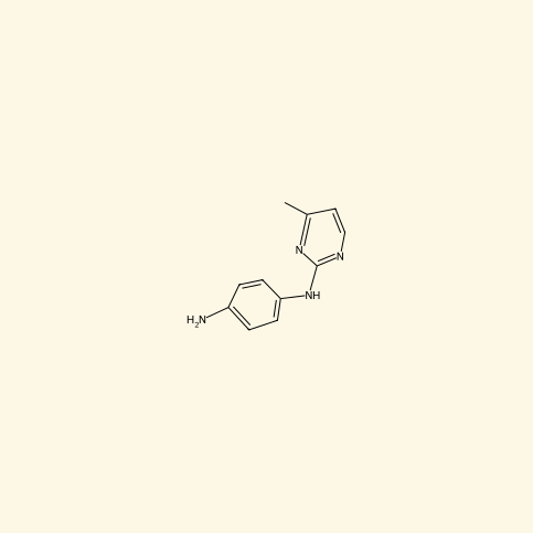 Cc1ccnc(Nc2ccc(N)cc2)n1